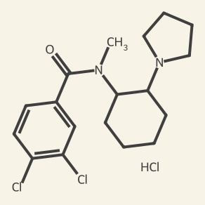 CN(C(=O)c1ccc(Cl)c(Cl)c1)C1CCCCC1N1CCCC1.Cl